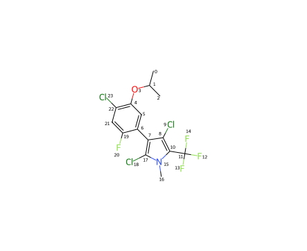 CC(C)Oc1cc(-c2c(Cl)c(C(F)(F)F)n(C)c2Cl)c(F)cc1Cl